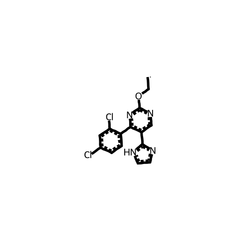 [CH2]COc1ncc(-c2ncc[nH]2)c(-c2ccc(Cl)cc2Cl)n1